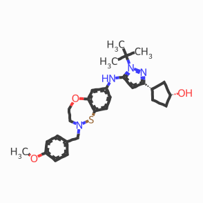 COc1ccc(CN2CCOc3cc(Nc4cc([C@H]5CC[C@@H](O)C5)nn4C(C)(C)C)ccc3S2)cc1